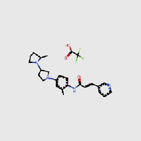 Cc1cc(N2CCC(N3CCCC3C)C2)ccc1NC(=O)C=Cc1cccnc1.O=C(O)C(F)(F)F